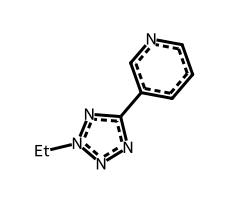 CCn1nnc(-c2cccnc2)n1